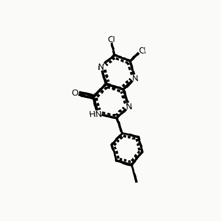 Cc1ccc(-c2nc3nc(Cl)c(Cl)nc3c(=O)[nH]2)cc1